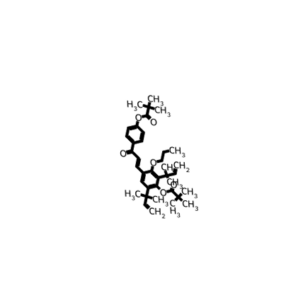 C=CC(C)(C)c1cc(C=CC(=O)c2ccc(OC(=O)C(C)(C)C)cc2)c(OCCC)c(C(C)(C)C=C)c1OC(=O)C(C)(C)C